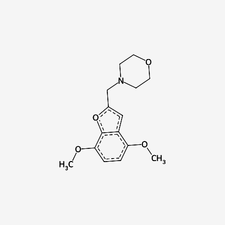 COc1ccc(OC)c2oc(CN3CCOCC3)cc12